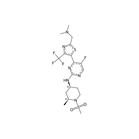 C[C@H]1C[C@@H](Nc2ncc(F)c(-c3sc(CN(C)C)nc3C(F)(F)F)n2)CCN1S(C)(=O)=O